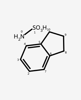 NS(=O)(=O)O.c1ccc2c(c1)CCC2